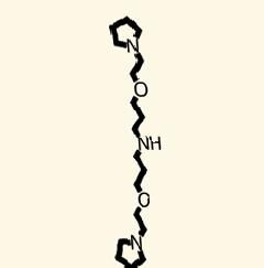 C(CNCCCOCCN1CCCC1)COCCN1CCCC1